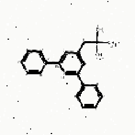 CC(C)(C)Cc1cc(-c2ccccc2)nc(-c2ccccc2)c1